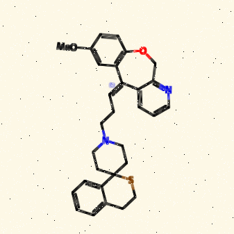 COc1ccc2c(c1)/C(=C/CCN1CCC3(CC1)SCCc1ccccc13)c1cccnc1CO2